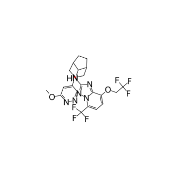 COc1cc(N2CC3CCC(C2)C3Nc2nc3c(OCC(F)(F)F)ccc(C(F)(F)F)n3n2)cnn1